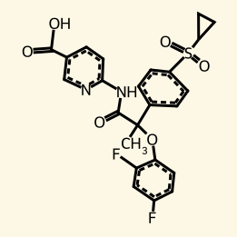 CC(Oc1ccc(F)cc1F)(C(=O)Nc1ccc(C(=O)O)cn1)c1ccc(S(=O)(=O)C2CC2)cc1